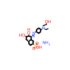 CCN(CCO)c1ccc(N=Nc2c(O)c(O)cc3ccc(S(=O)(=O)O)cc23)cc1.N